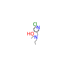 CCCN(Cc1ccc(Cl)nc1)C(C)O